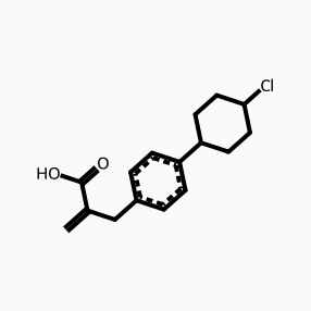 C=C(Cc1ccc(C2CCC(Cl)CC2)cc1)C(=O)O